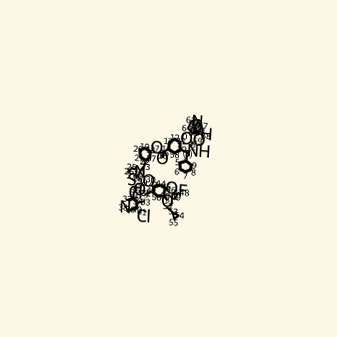 O=C(N[C@@H](c1ccccc1)c1cccc(C(=O)Oc2cccc(CN3CCS[C@H]3C(=O)O[C@@H](Cc3c(Cl)cncc3Cl)c3ccc(OC(F)F)c(OCC4CC4)c3)c2)c1)O[C@H]1CN2CCC1CC2